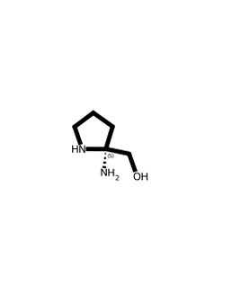 N[C@@]1(CO)CCCN1